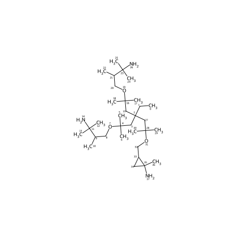 CCC(CC(C)(C)OCC(C)C(C)(C)N)(CC(C)(C)OCC(C)C(C)(C)N)CC(C)(C)OCC1CC1(C)N